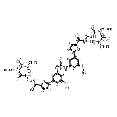 CCCCC[C@@H](C(=O)NCNC(=O)c1ccc(-c2cc(OCC)cc(O[PH](=O)Oc3cc(OCC)cc(-c4ccc(C(=O)NCNC(=O)[C@H](CCCCC)[C@@H](CC)N(O)C=O)o4)c3)c2)o1)[C@@H](CC)N(O)C=O